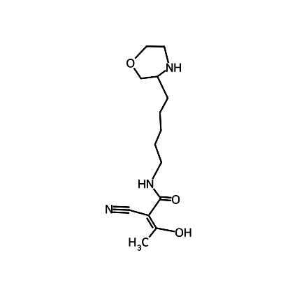 C/C(O)=C(\C#N)C(=O)NCCCCCC1COCCN1